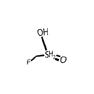 O=[SH2](O)F